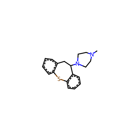 CN1CCN(C2Cc3ccccc3Sc3ccccc32)CC1